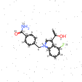 C=C(O)c1cn(Cc2ccc(C(N)=O)cc2)c2cccc(F)c12